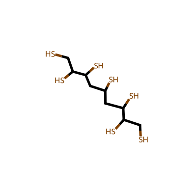 SCC(S)C(S)CC(S)CC(S)C(S)CS